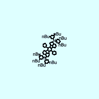 CCCCc1cc(CCCC)cc(N(c2cc(CCCC)cc(CCCC)c2)c2ccc3c4c(-c5ccccc5)c5c6cccc7c(N(c8cc(CCCC)cc(CCCC)c8)c8cc(CCCC)cc(CCCC)c8)ccc(c5c(-c5ccccc5)c4c4cccc2c43)c76)c1